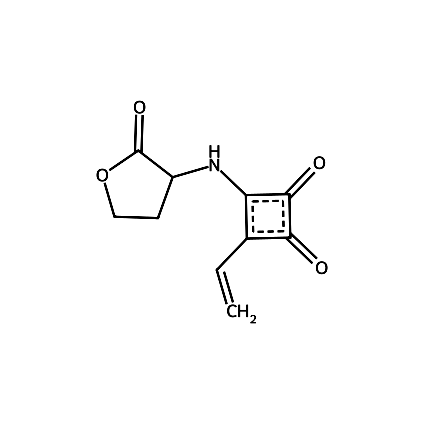 C=Cc1c(NC2CCOC2=O)c(=O)c1=O